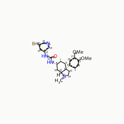 COc1ccc([C@@]23CC[C@@H](NC(=O)Nc4cncc(Br)c4)C[C@@H]2N(C)CC3)cc1OC